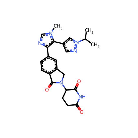 CC(C)n1cc(-c2c(-c3ccc4c(c3)CN(C3CCC(=O)NC3=O)C4=O)ncn2C)cn1